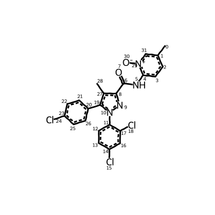 Cc1ccc(NC(=O)c2nn(-c3ccc(Cl)cc3Cl)c(-c3ccc(Cl)cc3)c2C)[n+]([O-])c1